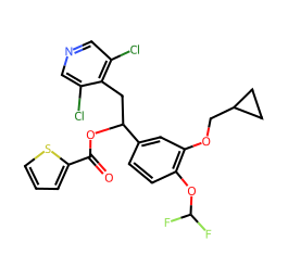 O=C(OC(Cc1c(Cl)cncc1Cl)c1ccc(OC(F)F)c(OCC2CC2)c1)c1cccs1